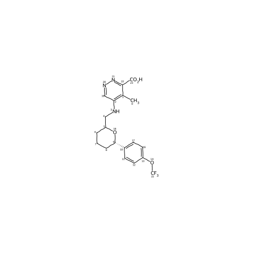 Cc1c(NCC2CCC[C@@H](c3ccc(OC(F)(F)F)cc3)O2)cnnc1C(=O)O